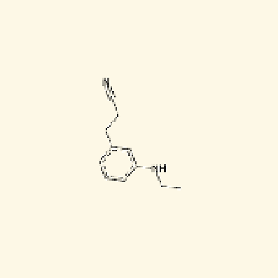 CCNc1cccc(CCC#N)c1